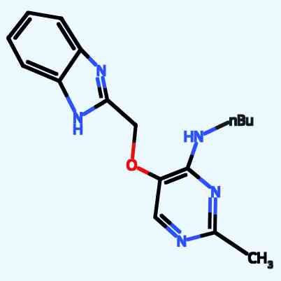 CCCCNc1nc(C)ncc1OCc1nc2ccccc2[nH]1